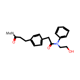 CNC(=O)CCc1ccc(CC(=O)N(CCO)c2ccccc2)cc1